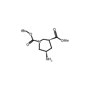 COC(=O)[C@H]1C[C@@H](N)CN(C(=O)OC(C)(C)C)C1